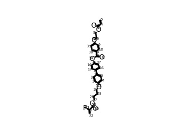 C=CC(=O)OCCOc1ccc(C(=O)Oc2ccc(-c3ccc(OCCCCOC(=O)C(=C)F)cc3)cc2)cc1